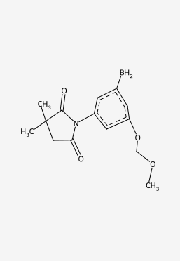 Bc1cc(OCOC)cc(N2C(=O)CC(C)(C)C2=O)c1